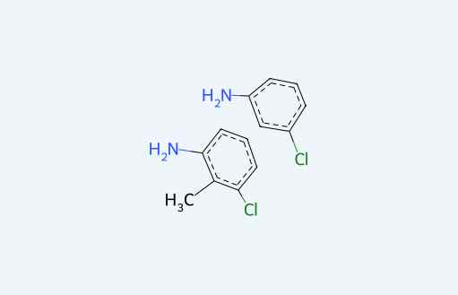 Cc1c(N)cccc1Cl.Nc1cccc(Cl)c1